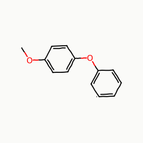 COc1ccc(Oc2c[c]ccc2)cc1